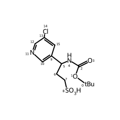 CC(C)(C)OC(=O)NC(CCS(=O)(=O)O)c1cncc(Cl)c1